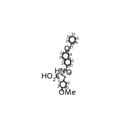 COc1ccc(CC(NC(=O)c2ccc3cc(OCc4ccccc4)ccc3c2)C(=O)O)cc1